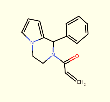 C=CC(=O)N1CCn2cccc2C1c1ccccc1